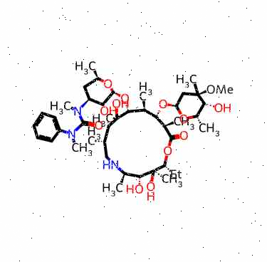 CC[C@H]1OC(=O)[C@H](C)[C@@H](O[C@H]2C[C@@](C)(OC)[C@H](O)[C@H](C)O2)[C@H](C)[C@@H](O[C@@H]2O[C@H](C)C[C@H](N(C)C(=O)N(C)c3ccccc3)[C@H]2O)[C@](C)(O)C[C@@H](C)CN[C@H](C)[C@@H](O)[C@]1(C)O